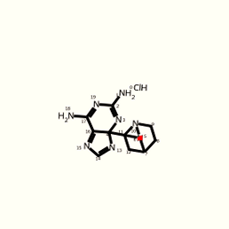 Cl.NC1=NC2(N3CC4CCN3CC4)N=CN=C2C(N)=N1